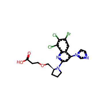 O=C(O)CCOC[C@@H]1CCCN1c1cc(-n2ccnc2)c2cc(Br)c(Cl)c(Cl)c2n1